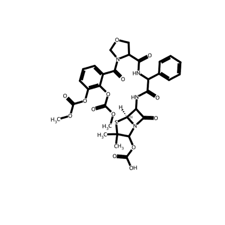 COC(=O)Oc1cccc(C(=O)N2COCC2C(=O)NC(C(=O)NC2C(=O)N3C(OC(=O)O)C(C)(C)S[C@@H]23)c2ccccc2)c1OC(=O)OC